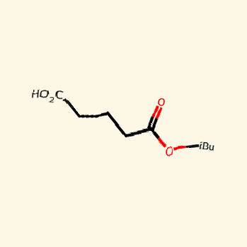 CCC(C)OC(=O)CCCC(=O)O